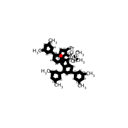 CC1=Cc2c(-c3cc(C)cc(C)c3)cc(-c3cc(C)cc(C)c3)cc2[CH]1[Zr]([Cl])([Cl])([CH]1C(C(C)C)=Cc2c(-c3cc(C)cc(C)c3)cccc21)[SiH](C)C